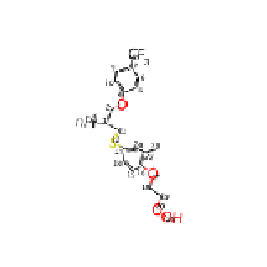 CCCC(COc1ccc(C(F)(F)F)cc1)CSc1ccc(OCCOO)c(C)c1